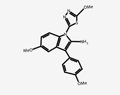 COc1ccc(-c2c(N)n(-c3nnc(OC)s3)c3ccc(OC)cc23)cc1